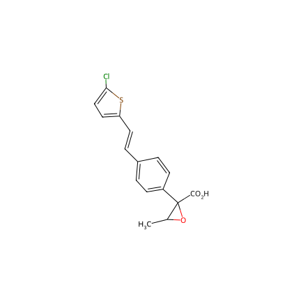 CC1OC1(C(=O)O)c1ccc(C=Cc2ccc(Cl)s2)cc1